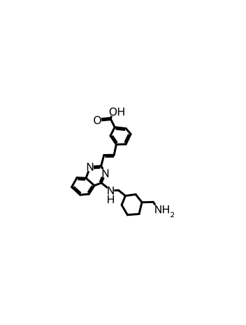 NCC1CCCC(CNc2nc(C=Cc3cccc(C(=O)O)c3)nc3ccccc23)C1